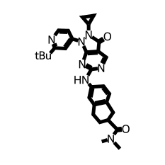 CN(C)C(=O)C1CCc2cc(Nc3ncc4c(=O)n(C5CC5)n(-c5ccnc(C(C)(C)C)c5)c4n3)ccc2C1